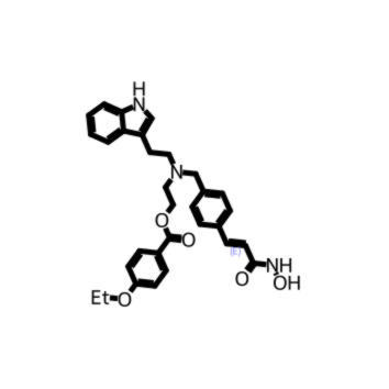 CCOc1ccc(C(=O)OCCN(CCc2c[nH]c3ccccc23)Cc2ccc(/C=C/C(=O)NO)cc2)cc1